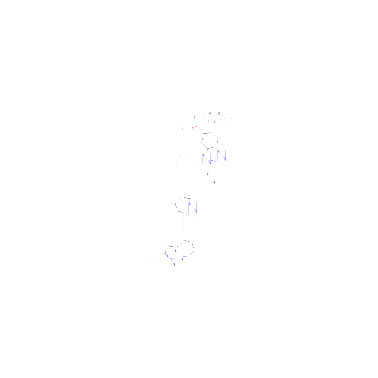 COC(=O)c1ccc2nc(CN3CCC(c4cccc(OCc5cccn6nc(C7CC7)cc56)n4)CC3)n(C[C@@H]3CCO3)c2c1